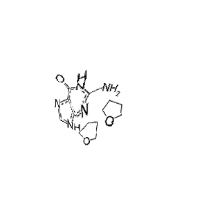 C1CCOC1.C1CCOC1.Nc1nc2[nH]cnc2c(=O)[nH]1